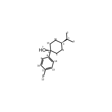 CC(C)[C@H]1CC[C@](O)(c2ccc(F)cc2)CC1